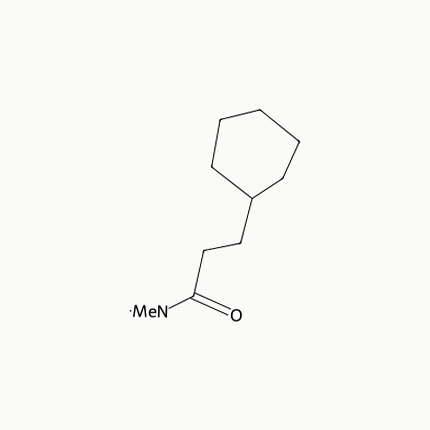 C[N]C(=O)CCC1CCCCC1